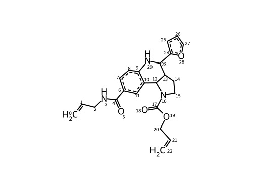 C=CCNC(=O)c1ccc2c(c1)C1C(CCN1C(=O)OCC=C)C(c1ccco1)N2